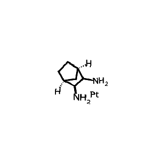 NC1C(N)[C@H]2CC[C@@H]1C2.[Pt]